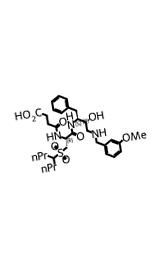 CCCC(CCC)S(=O)(=O)C[C@H](NC(=O)CCC(=O)O)C(=O)N[C@@H](Cc1ccccc1)[C@H](O)CNCc1cccc(OC)c1